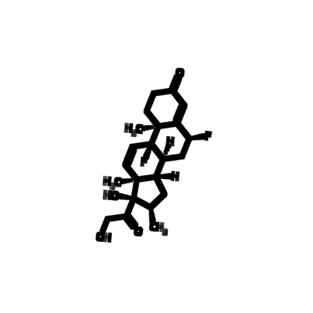 C[C@@H]1C[C@H]2[C@@H]3C[C@H](F)C4=CC(=O)CC[C@]4(C)[C@@]3(F)C=C[C@]2(C)[C@@]1(O)C(=O)CO